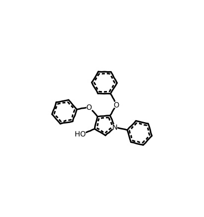 Oc1cn(-c2ccccc2)c(Oc2ccccc2)c1Oc1ccccc1